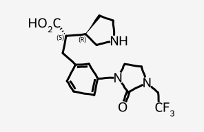 O=C(O)[C@@H](Cc1cccc(N2CCN(CC(F)(F)F)C2=O)c1)[C@H]1CCNC1